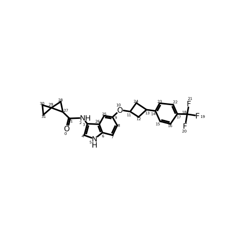 O=C(Nc1c[nH]c2ccc(OC3CC(c4ccc(C(F)(F)F)cc4)C3)cc12)C1CC12CC2